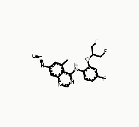 Cc1cc(N=S=O)cc2ncnc(Nc3ccc(F)cc3OC(CF)CF)c12